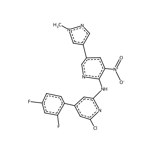 Cn1cc(-c2cnc(Nc3cc(-c4ccc(F)cc4F)cc(Cl)n3)c([N+](=O)[O-])c2)cn1